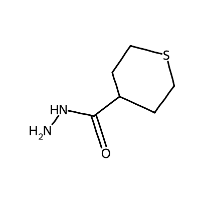 NNC(=O)C1CCSCC1